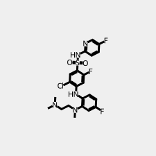 CN(C)CCN(C)c1cc(F)ccc1Nc1cc(F)c(S(=O)(=O)Nc2ccc(F)cn2)cc1Cl